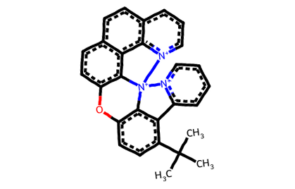 CC(C)(C)c1ccc2c3c1-c1cccc[n+]1[N+]31c3c(ccc4ccc5ccc[n+]1c5c34)O2